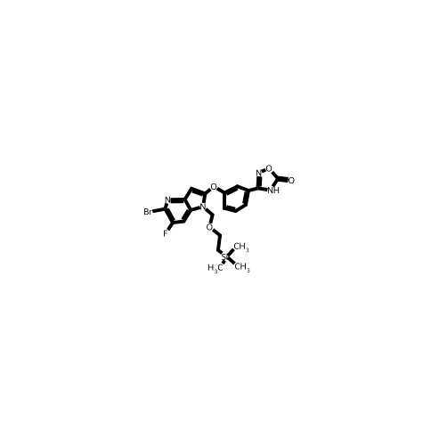 C[Si](C)(C)CCOCn1c(Oc2cccc(-c3noc(=O)[nH]3)c2)cc2nc(Br)c(F)cc21